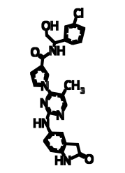 Cc1cnc(Nc2ccc3c(c2)CC(=O)N3)nc1-n1ccc(C(=O)NC(CO)c2cccc(Cl)c2)c1